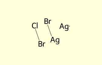 ClBr.[Ag].[Br][Ag]